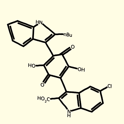 CCCCc1[nH]c2ccccc2c1C1=C(O)C(=O)C(c2c(C(=O)O)[nH]c3ccc(Cl)cc23)=C(O)C1=O